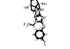 N#CN1C[C@H]2CC[C@@H](C1)[C@@H]2Nc1nc(Oc2cccc(F)c2)n(CC(F)(F)F)n1